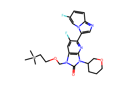 C[Si](C)(C)CCOCn1c(=O)n(C2CCCOC2)c2nc(-c3cnc4ccc(F)cn34)c(F)cc21